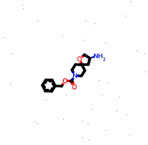 N[C@@H]1COC2(CCN(C(=O)OCc3ccccc3)CC2)C1